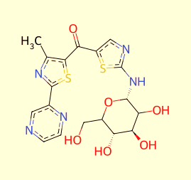 Cc1nc(-c2cnccn2)sc1C(=O)c1cnc(N[C@H]2OC(CO)[C@@H](O)[C@H](O)C2O)s1